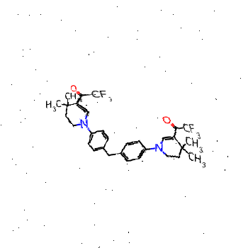 CC1(C)CCN(c2ccc(Cc3ccc(N4C=C(C(=O)C(F)(F)F)C(C)(C)CC4)cc3)cc2)C=C1C(=O)C(F)(F)F